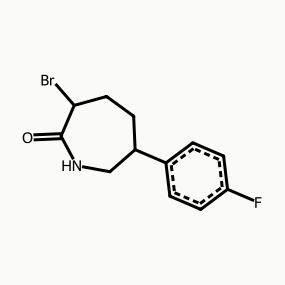 O=C1NCC(c2ccc(F)cc2)CCC1Br